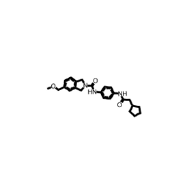 COCc1ccc2c(c1)CN(C(=O)Nc1ccc(NC(=O)CC3CCCC3)cc1)C2